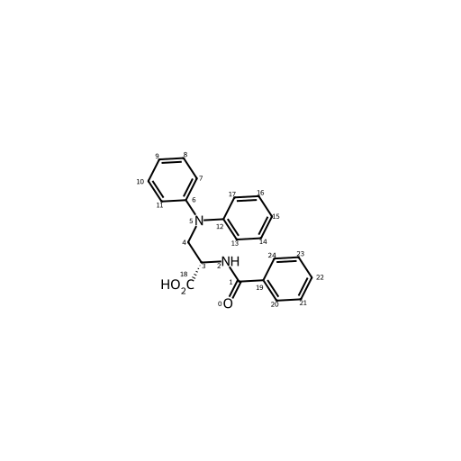 O=C(N[C@@H](CN(c1ccccc1)c1ccccc1)C(=O)O)c1ccccc1